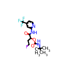 CC(C)(C)NC(=O)OC(CCI)C(=O)Nc1cc(C(F)(F)F)ccn1